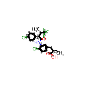 CC[C@H](Cc1ccc(Cl)c(NC(=O)[C@H](c2ccc(Cl)cc2)[C@@H](C)C(F)(F)F)c1)C(=O)O